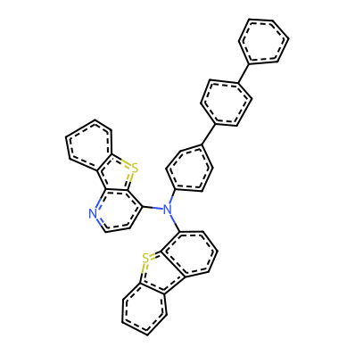 c1ccc(-c2ccc(-c3ccc(N(c4cccc5c4sc4ccccc45)c4ccnc5c4sc4ccccc45)cc3)cc2)cc1